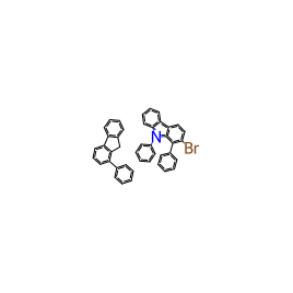 Brc1ccc2c3ccccc3n(-c3ccccc3)c2c1-c1ccccc1.c1ccc(-c2cccc3c2Cc2ccccc2-3)cc1